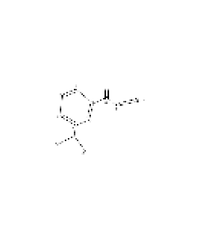 CC(C)c1cccc(N[C]=S)c1